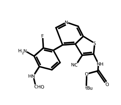 CC(C)(C)OC(=O)Nc1sc2cncc(-c3ccc(NC=O)c(N)c3F)c2c1C#N